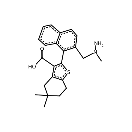 CN(N)Cc1ccc2ccccc2c1-c1sc2c(c1C(=O)O)CC(C)(C)CC2